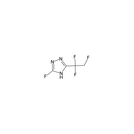 FCC(F)(F)c1nnc(F)[nH]1